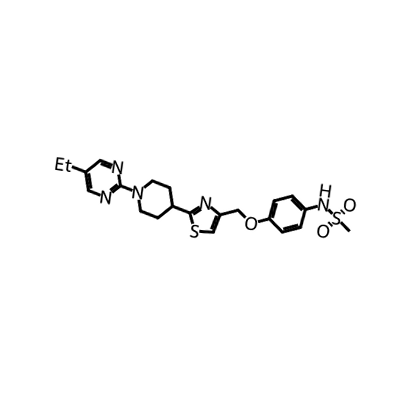 CCc1cnc(N2CCC(c3nc(COc4ccc(NS(C)(=O)=O)cc4)cs3)CC2)nc1